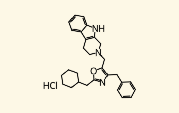 Cl.c1ccc(Cc2nc(CC3CCCCC3)oc2CN2CCc3c([nH]c4ccccc34)C2)cc1